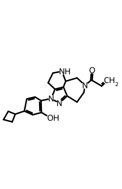 C=CC(=O)N1CCc2nn(-c3ccc(C4CCC4)cc3O)c3c2C(C1)NCC3